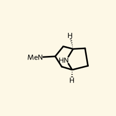 CNC1C[C@H]2CC[C@@H](C1)N2